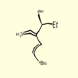 CCC(C)[C@@H](CC)C(=[SiH2])/C=C/C(C)(C)C